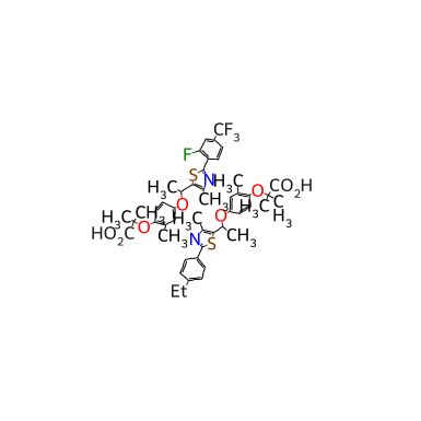 CCc1ccc(-c2nc(C)c(C(C)Oc3ccc(OC(C)(C)C(=O)O)c(C)c3)s2)cc1.Cc1cc(OC(C)c2sc(-c3ccc(C(F)(F)F)cc3F)nc2C)ccc1OC(C)(C)C(=O)O